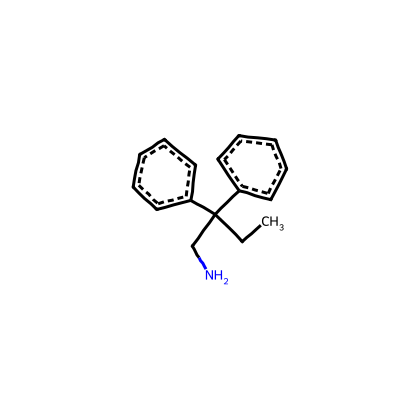 CCC(CN)(c1ccccc1)c1ccccc1